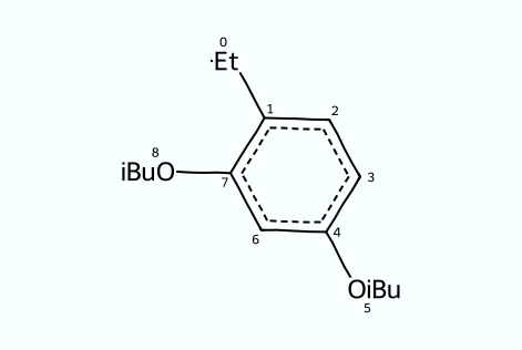 C[CH]c1ccc(OCC(C)C)cc1OCC(C)C